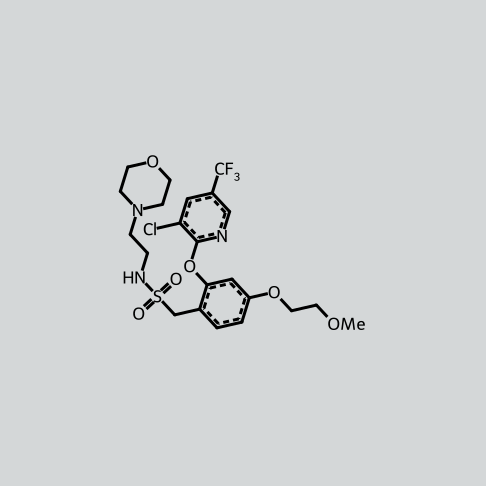 COCCOc1ccc(CS(=O)(=O)NCCN2CCOCC2)c(Oc2ncc(C(F)(F)F)cc2Cl)c1